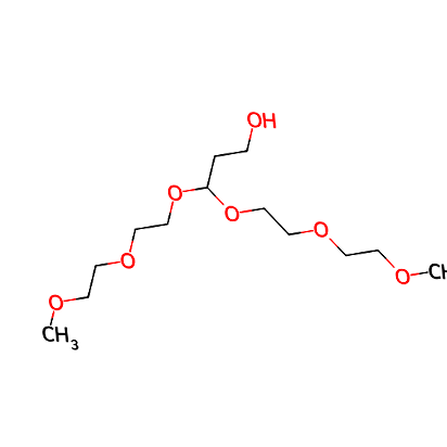 COCCOCCOC(CCO)OCCOCCOC